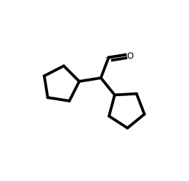 O=[C]C(C1CCCC1)C1CCCC1